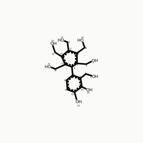 OCc1c(-c2c(CO)c(CO)c(CO)c(CO)c2CO)ccc(O)c1O